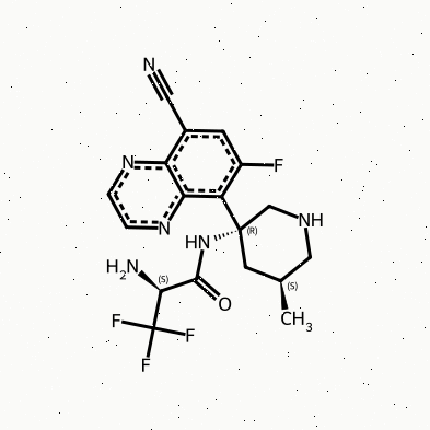 C[C@@H]1CNC[C@](NC(=O)[C@H](N)C(F)(F)F)(c2c(F)cc(C#N)c3nccnc23)C1